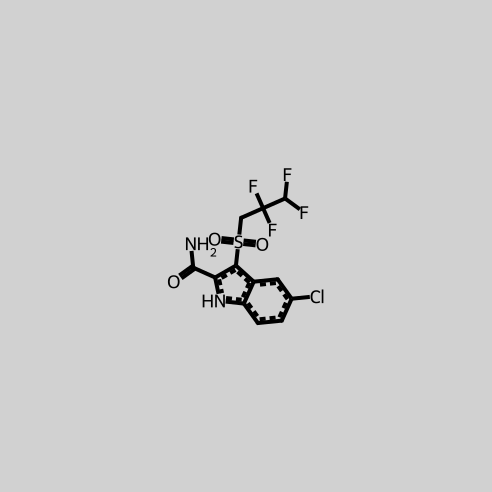 NC(=O)c1[nH]c2ccc(Cl)cc2c1S(=O)(=O)CC(F)(F)C(F)F